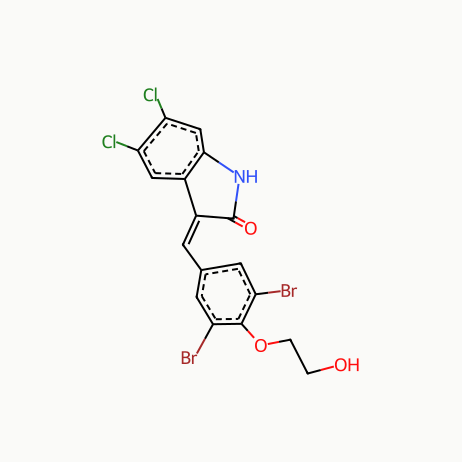 O=C1Nc2cc(Cl)c(Cl)cc2C1=Cc1cc(Br)c(OCCO)c(Br)c1